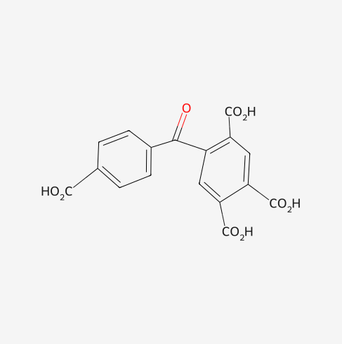 O=C(O)c1ccc(C(=O)c2cc(C(=O)O)c(C(=O)O)cc2C(=O)O)cc1